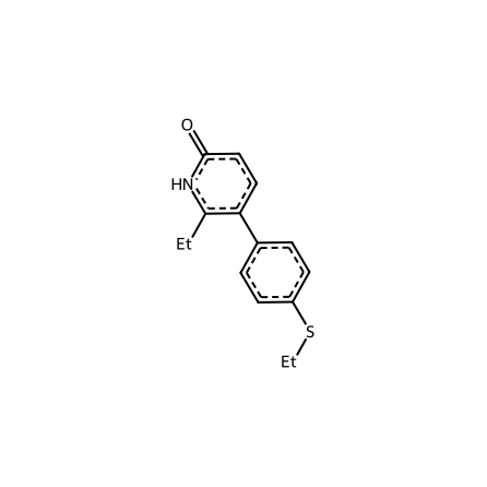 CCSc1ccc(-c2ccc(=O)[nH]c2CC)cc1